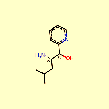 CC(C)C[C@H](N)[C@H](O)c1ccccn1